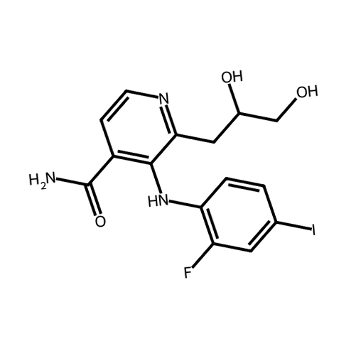 NC(=O)c1ccnc(CC(O)CO)c1Nc1ccc(I)cc1F